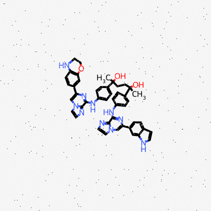 CC(O)(CCC(C)(O)c1ccc(Nc2nc(-c3ccc4cc[nH]c4c3)cn3ccnc23)cc1)c1ccc(Nc2nc(-c3ccc4c(c3)OCCN4)cn3ccnc23)cc1